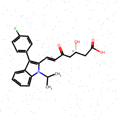 CC(C)n1c(/C=C/C(=O)C[C@H](O)CC(=O)O)c(-c2ccc(F)cc2)c2ccccc21